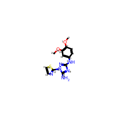 COc1ccc(Nc2nc(N)n(-c3nccs3)n2)cc1OC